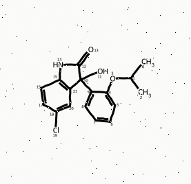 CC(C)Oc1ccccc1C1(O)C(=O)Nc2ccc(Cl)cc21